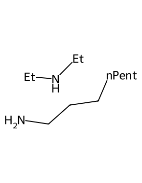 CCCCCCCCN.CCNCC